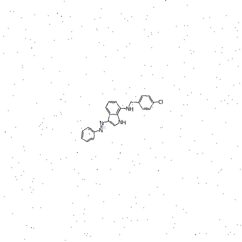 Clc1ccc(CNc2cccc3c(/N=N/c4ccccc4)c[nH]c23)cc1